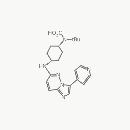 CC(C)(C)N(C(=O)O)[C@H]1CC[C@@H](Nc2ccc3ncc(-c4ccncc4)n3n2)CC1